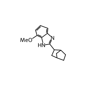 COc1cccc2nc(C3CC4CCC3C4)[nH]c12